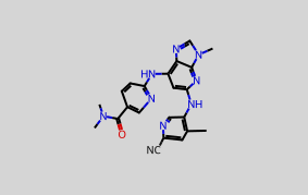 Cc1cc(C#N)ncc1Nc1cc(Nc2ccc(C(=O)N(C)C)cn2)c2ncn(C)c2n1